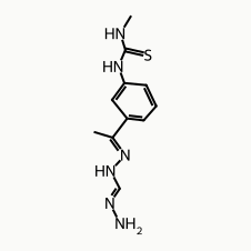 CNC(=S)Nc1cccc(C(C)=NNC=NN)c1